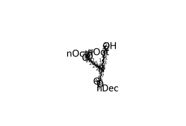 CCCCCCCCCCCOC(=O)CCCCCN(CCCCCCCCCCO)CCCCCCCC(=O)OC(CCCCCCCC)CCCCCCCC